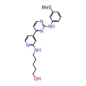 CSc1cccc(Nc2nccc(-c3ccnc(NCCCCCO)c3)n2)c1